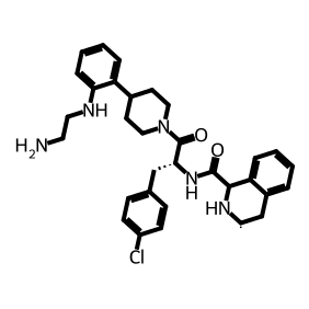 NCCNc1ccccc1C1CCN(C(=O)[C@@H](Cc2ccc(Cl)cc2)NC(=O)C2N[CH]Cc3ccccc32)CC1